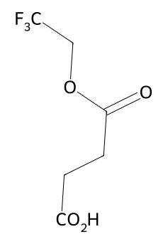 O=C(O)CCC(=O)OCC(F)(F)F